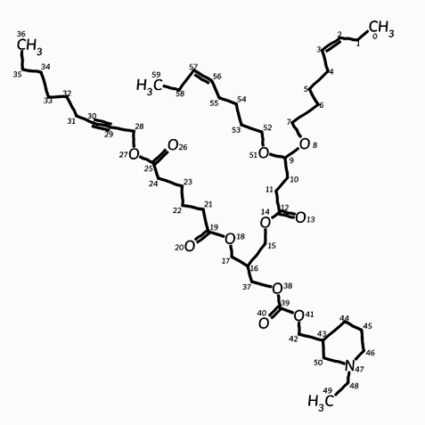 CC/C=C\CCCCOC(CCC(=O)OCC(COC(=O)CCCCC(=O)OCC#CCCCCCC)COC(=O)OCC1CCCN(CC)C1)OCCCC/C=C\CC